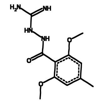 COc1cc(C)cc(OC)c1C(=O)NNC(=N)N